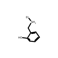 CC[SiH2]Cc1ccccc1O